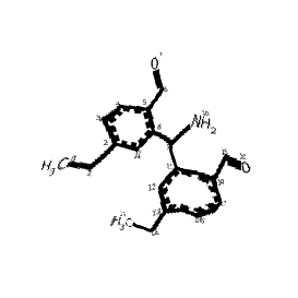 CCc1ccc(C=O)c(C(N)c2cc(CC)ccc2C=O)c1